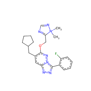 C[N+]1(C)N=CN=C1COc1nn2c(-c3ccccc3F)nnc2cc1CC1CCCC1